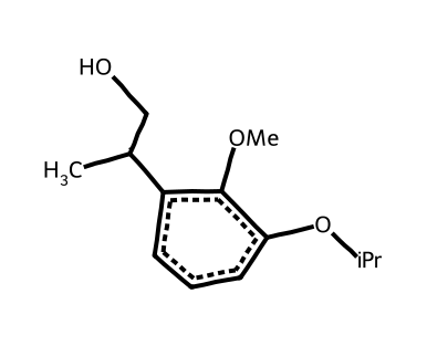 COc1c(OC(C)C)cccc1[C](C)CO